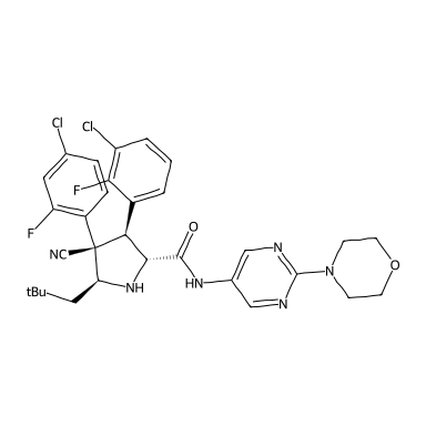 CC(C)(C)C[C@@H]1N[C@@H](C(=O)Nc2cnc(N3CCOCC3)nc2)[C@H](c2cccc(Cl)c2F)[C@@]1(C#N)c1ccc(Cl)cc1F